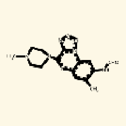 Cc1cc2nc(N3CCN(C)CC3)c3nnnn3c2cc1NC=O